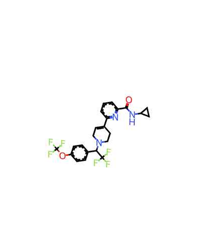 O=C(NC1CC1)c1cccc(C2=CCN(C(c3ccc(OC(F)(F)F)cc3)C(F)(F)F)CC2)n1